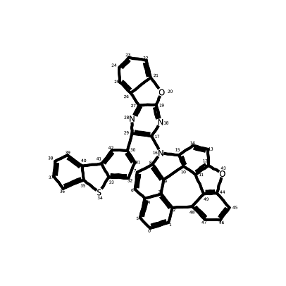 c1cc2c3c(c1)ccc1c3c3c4c(ccc3n1-c1nc3oc5ccccc5c3nc1-c1ccc3sc5ccccc5c3c1)oc1cccc-2c14